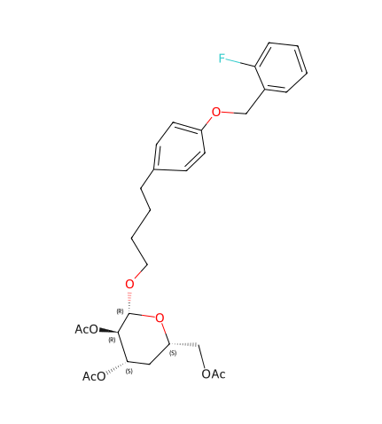 CC(=O)OC[C@@H]1C[C@H](OC(C)=O)[C@@H](OC(C)=O)[C@H](OCCCCc2ccc(OCc3ccccc3F)cc2)O1